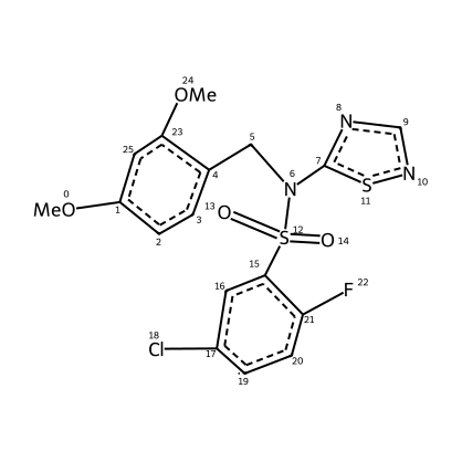 COc1ccc(CN(c2ncns2)S(=O)(=O)c2cc(Cl)[c]cc2F)c(OC)c1